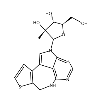 C[C@]1(O)C(n2cc3c4c(ncnc42)NCc2sccc2-3)O[C@H](CO)[C@H]1O